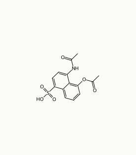 CC(=O)Nc1ccc(S(=O)(=O)O)c2cccc(OC(C)=O)c12